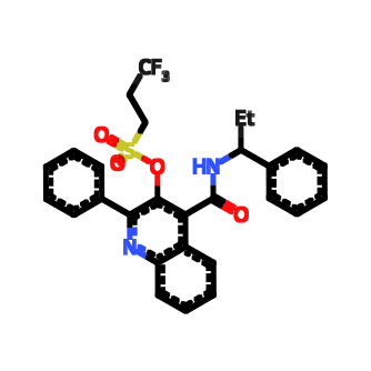 CCC(NC(=O)c1c(OS(=O)(=O)CCC(F)(F)F)c(-c2ccccc2)nc2ccccc12)c1ccccc1